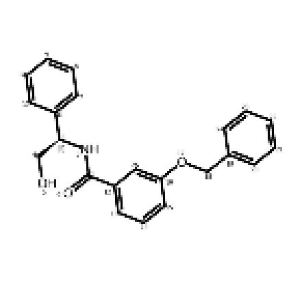 O=C(N[C@@H](CO)c1ccccc1)c1cccc(OCc2ccccc2)c1